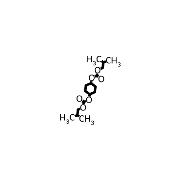 CC(C)COC(=O)OC1CCC(OC(=O)OCC(C)C)CC1